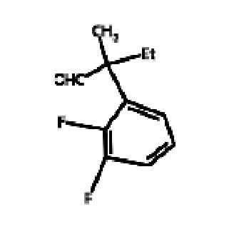 CCC(C)(C=O)c1cccc(F)c1F